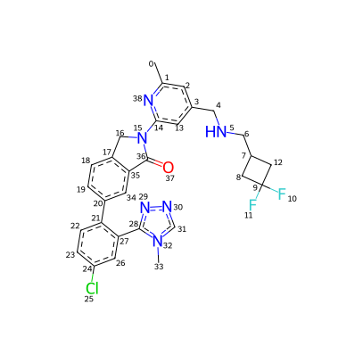 Cc1cc(CNCC2CC(F)(F)C2)cc(N2Cc3ccc(-c4ccc(Cl)cc4-c4nncn4C)cc3C2=O)n1